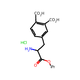 CC(C)OC(=O)C(N)Cc1ccc(C(=O)O)c(C(=O)O)c1.Cl